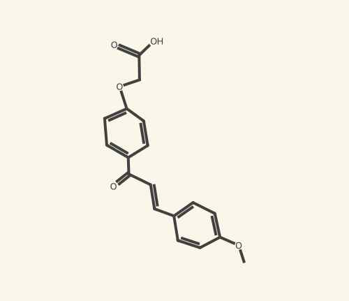 COc1ccc(C=CC(=O)c2ccc(OCC(=O)O)cc2)cc1